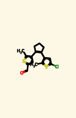 Cc1sc(Cl)cc1C1=C(c2cc(C=O)sc2C)CCC1